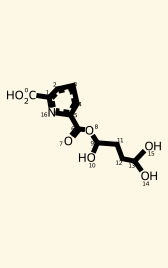 O=C(O)c1cccc(C(=O)OC(O)CCC(O)O)n1